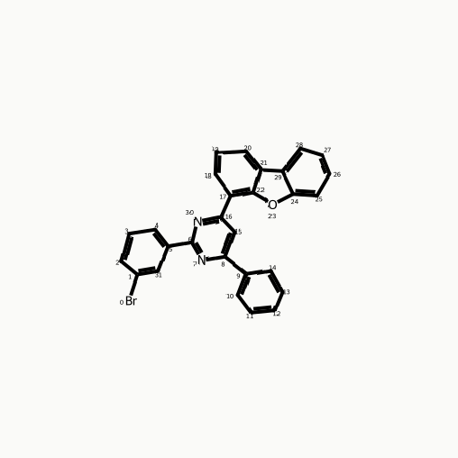 Brc1cccc(-c2nc(-c3ccccc3)cc(-c3cccc4c3oc3ccccc34)n2)c1